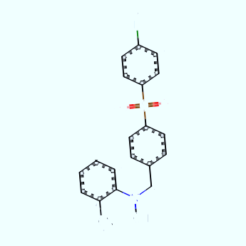 CN(Cc1ccc(S(=O)(=O)c2ccc(F)cc2)cc1)c1ccccc1C#N